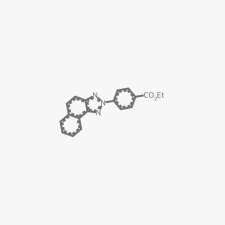 CCOC(=O)c1ccc(-n2nc3ccc4ccccc4c3n2)cc1